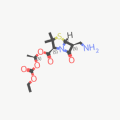 CCOC(=O)O[C@@H](C)OC(=O)[C@@H]1N2C(=O)[C@H](CN)[C@H]2SC1(C)C